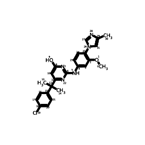 COc1cc(Nc2nc(O)cc(C(C)(C)c3ccc(Cl)cc3)n2)ccc1-n1cnc(C)c1